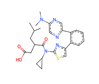 CC(C)CC(CC(=O)O)C(=O)N(c1nc(-c2ccccc2-c2cnc(N(C)C)cn2)cs1)C1CC1